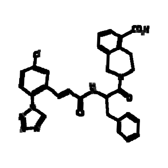 O=C(C=Cc1cc(Cl)ccc1-n1cnnn1)NC(Cc1ccccc1)C(=O)N1CCc2c(cccc2C(=O)O)C1